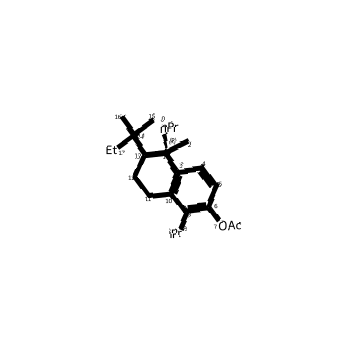 CCC[C@@]1(C)c2ccc(OC(C)=O)c(C(C)C)c2CCC1C(C)(C)CC